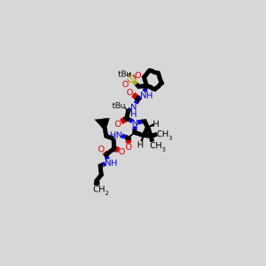 C=CCCNC(=O)C(=O)C(CC1CC1)NC(=O)[C@@H]1[C@@H]2[C@H](CN1C(=O)[C@@H](NC(=O)NC1(CS(=O)(=O)C(C)(C)C)CCCCC1)C(C)(C)C)C2(C)C